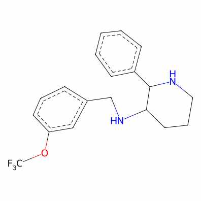 FC(F)(F)Oc1cccc(CNC2CCCNC2c2ccccc2)c1